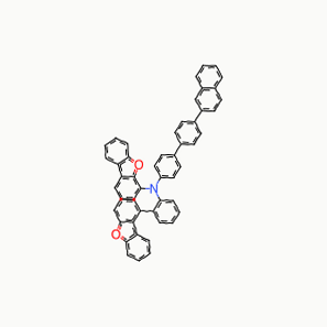 c1ccc(N(c2ccc(-c3ccc(-c4ccc5ccccc5c4)cc3)cc2)c2cccc3c2oc2ccccc23)c(-c2cccc3oc4ccccc4c23)c1